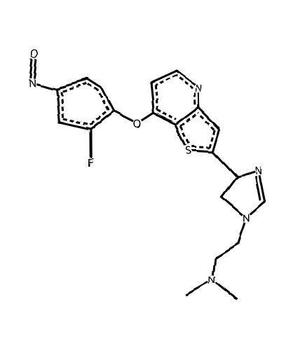 CN(C)CCN1C=NC(c2cc3nccc(Oc4ccc(N=O)cc4F)c3s2)C1